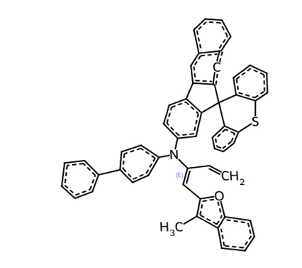 C=C/C(=C\c1oc2ccccc2c1C)N(c1ccc(-c2ccccc2)cc1)c1ccc2c(c1)C1(c3ccccc3Sc3ccccc31)c1cc3ccccc3cc1-2